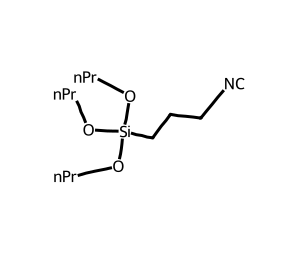 [C-]#[N+]CCC[Si](OCCC)(OCCC)OCCC